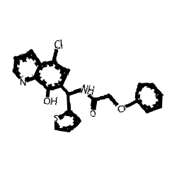 O=C(COc1ccccc1)NC(c1cccs1)c1cc(Cl)c2cccnc2c1O